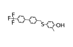 Cc1cc(SCc2ccc(-c3ccc(C(F)(F)F)cc3)cc2)ccc1O